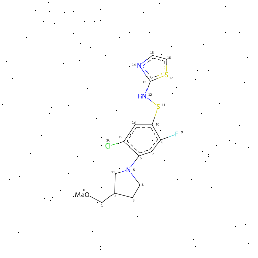 COCC1CCN(c2cc(F)c(SNc3nccs3)cc2Cl)C1